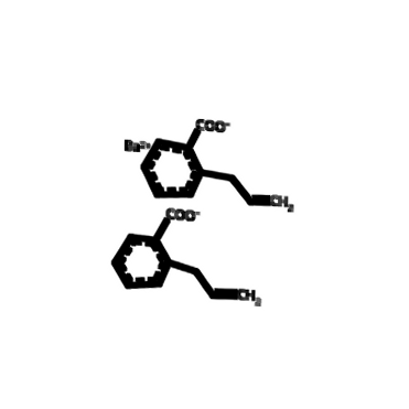 C=CCc1ccccc1C(=O)[O-].C=CCc1ccccc1C(=O)[O-].[Ba+2]